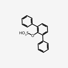 O=S(=O)(O)Oc1c(-c2ccccc2)cccc1-c1ccccc1